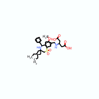 CCCCC1(CCCC)CS(=O)(=O)c2cc(CNC(CC(=O)O)CC(=O)O)c(OC)cc2C(c2ccccc2)N1